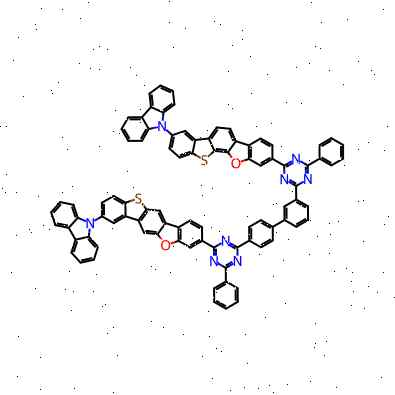 c1ccc(-c2nc(-c3ccc(-c4cccc(-c5nc(-c6ccccc6)nc(-c6ccc7c(c6)oc6c7ccc7c8cc(-n9c%10ccccc%10c%10ccccc%109)ccc8sc76)n5)c4)cc3)nc(-c3ccc4c(c3)oc3cc5c(cc34)sc3ccc(-n4c6ccccc6c6ccccc64)cc35)n2)cc1